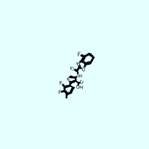 Cc1ccc(-c2scc(NC(=O)c3nc4c(F)cccc4o3)c2C(=O)O)c(F)c1F